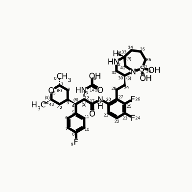 C[C@@H]1CC([C@H](c2ccc(F)cc2)[C@H](NC(=O)O)C(=O)Nc2ccc(F)c(F)c2CC[C@H]2CN[C@@H]3CCCS(O)(O)N2C3)C[C@H](C)O1